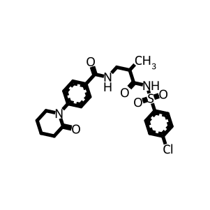 CC(CNC(=O)c1ccc(N2CCCCC2=O)cc1)C(=O)NS(=O)(=O)c1ccc(Cl)cc1